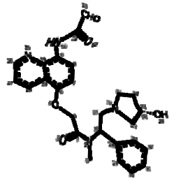 CN(C(=O)COc1ccc(NC(=O)C=O)c2ncccc12)C(CN1CC[C@H](O)C1)c1ccccc1